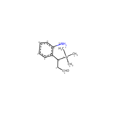 C[Si](C)(C)C(CC=O)c1ccccc1N